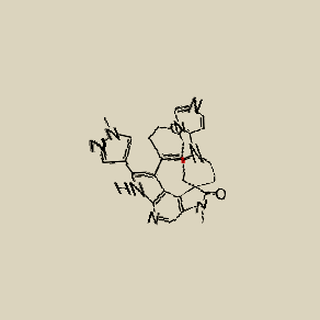 CN1C(=O)C2(CCN(c3ccncn3)CC2)c2c1cnc1[nH]c(-c3cnn(C)c3)c(C3=CCOCC3)c21